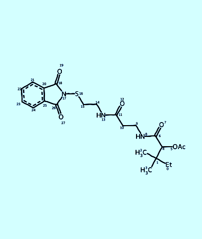 CCC(C)(C)C(OC(C)=O)C(=O)NCCC(=O)NCCSN1C(=O)c2ccccc2C1=O